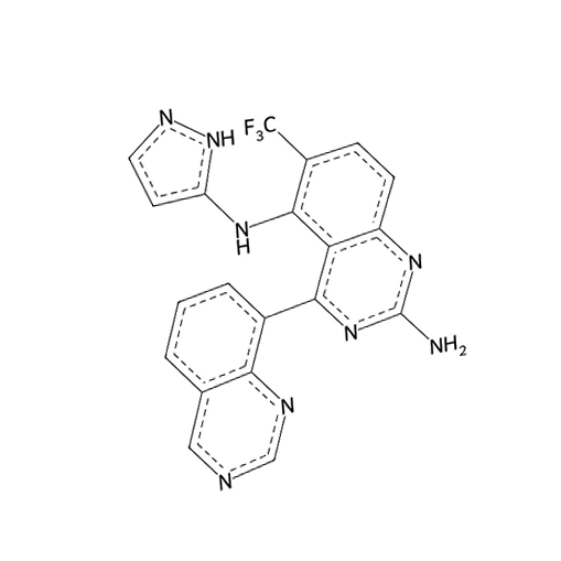 Nc1nc(-c2cccc3cncnc23)c2c(Nc3ccn[nH]3)c(C(F)(F)F)ccc2n1